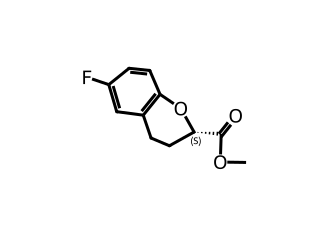 COC(=O)[C@@H]1CCc2cc(F)ccc2O1